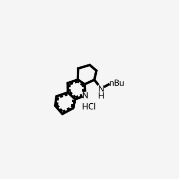 CCCCNC1CCCc2cc3ccccc3nc21.Cl